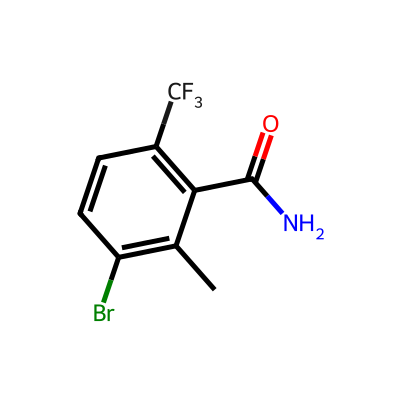 Cc1c(Br)ccc(C(F)(F)F)c1C(N)=O